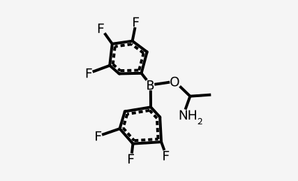 CC(N)OB(c1cc(F)c(F)c(F)c1)c1cc(F)c(F)c(F)c1